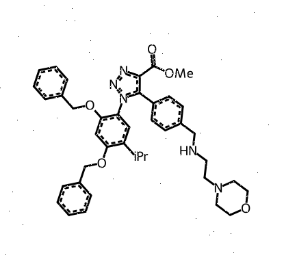 COC(=O)c1nnn(-c2cc(C(C)C)c(OCc3ccccc3)cc2OCc2ccccc2)c1-c1ccc(CNCCN2CCOCC2)cc1